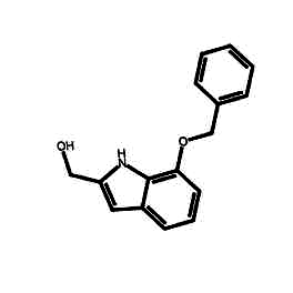 OCc1cc2cccc(OCc3ccccc3)c2[nH]1